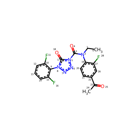 CCN(C(=O)n1nnn(-c2c(F)cccc2F)c1=O)c1ccc(C(C)=O)cc1F